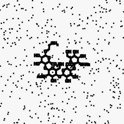 CC(=O)NC1[C@@H](O[C@@H]2C(C(=O)O)O[C@@H](O[C@@H]3C(CO)O[C@H](O[C@@H]4C(C(=O)O)O[C@@H](OCCN)[C@@H](O)C4O)C(NC(C)=O)[C@H]3O)[C@@H](O)C2O)OC(CO)[C@@H](O)[C@@H]1O